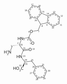 NC[C@H](NC(=O)OCC1c2ccccc2-c2ccccc21)C(=O)N[C@@H](Cc1ccccc1)C(=O)O